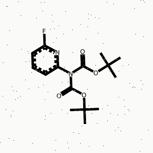 CC(C)(C)OC(=O)N(C(=O)OC(C)(C)C)c1cccc(F)n1